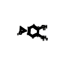 C1CO1.Nc1ccccc1O